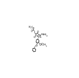 COC(=O)CCN1C(=O)c2c(N)sc(-c3ccc(OCc4ccccc4)c(OC)c3)c2C1=O